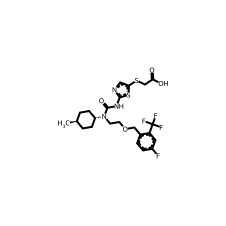 C[C@H]1CC[C@H](N(CCOCc2ccc(F)cc2C(F)(F)F)C(=O)Nc2ncc(SCC(=O)O)s2)CC1